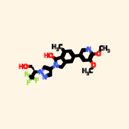 COc1cc(-c2cc(C)c3c(c2)CN(c2cnn([C@@H](CO)C(F)(F)F)c2)C3O)cnc1OC